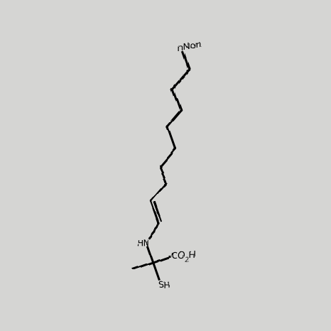 CCCCCCCCCCCCCCCCC=CNC(C)(S)C(=O)O